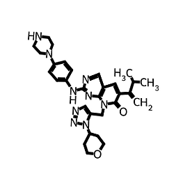 C=C(c1cc2cnc(Nc3ccc(N4CCNCC4)cc3)nc2n(Cc2cnnn2C2CCOCC2)c1=O)C(C)C